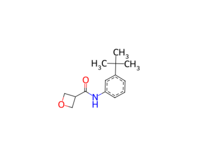 CC(C)(C)c1cccc(NC(=O)C2COC2)c1